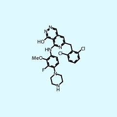 COc1c(Nc2nc(Cc3c(Cl)cccc3Cl)cc3cnnc(O)c23)ccc(N2CCNCC2)c1F